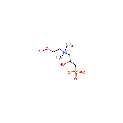 CC(C)OCC[N+](C)(C)CC(O)CS(=O)(=O)[O-]